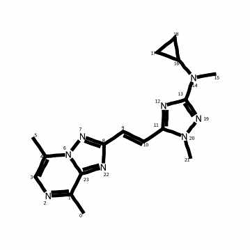 Cc1ncc(C)n2nc(/C=C/c3nc(N(C)C4CC4)nn3C)nc12